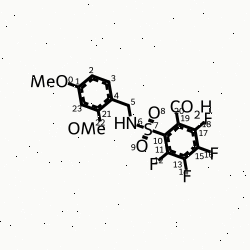 COc1ccc(CNS(=O)(=O)c2c(F)c(F)c(F)c(F)c2C(=O)O)c(OC)c1